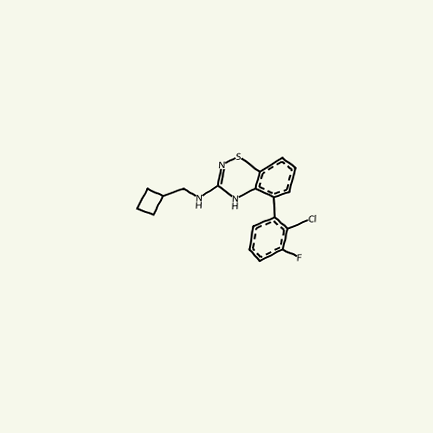 Fc1cccc(-c2cccc3c2NC(NCC2CCC2)=NS3)c1Cl